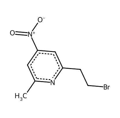 Cc1cc([N+](=O)[O-])cc(CCBr)n1